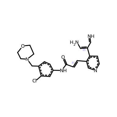 N=C/C(=C\N)c1ccncc1/C=C/C(=O)Nc1ccc(CN2CCOCC2)c(Cl)c1